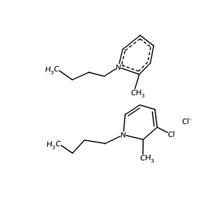 CCCCN1C=CC=C(Cl)C1C.CCCC[n+]1ccccc1C.[Cl-]